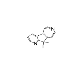 CC1(I)C2=C(C=C=NC=C2)c2cccnc21